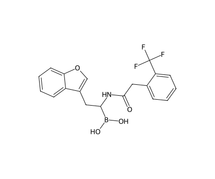 O=C(Cc1ccccc1C(F)(F)F)NC(Cc1coc2ccccc12)B(O)O